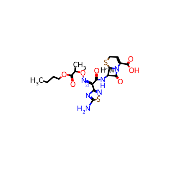 CCCCOC(=O)C(C)O/N=C(\C(=O)NC1C(=O)N2C(C(=O)O)=CCS[C@H]12)c1nsc(N)n1